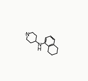 c1cc2c(c(NC3CC[N]CC3)c1)CCCC2